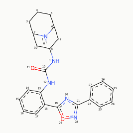 CN1C2CCCC1CC(NC(=O)Nc1ccccc1-c1nc(-c3ccccc3)no1)C2